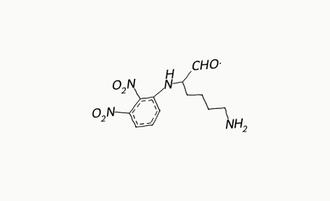 NCCCCC([C]=O)Nc1cccc([N+](=O)[O-])c1[N+](=O)[O-]